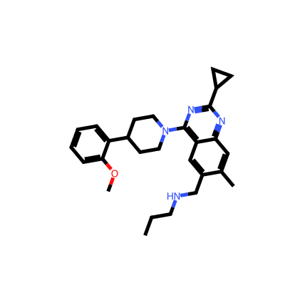 CCCNCc1cc2c(N3CCC(c4ccccc4OC)CC3)nc(C3CC3)nc2cc1C